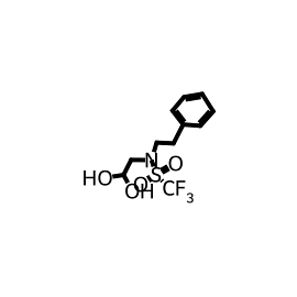 O=S(=O)(N(CCc1ccccc1)CC(O)O)C(F)(F)F